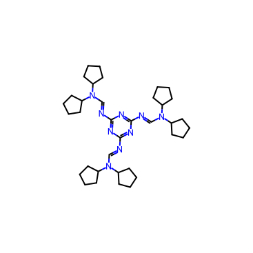 C(=Nc1nc(N=CN(C2CCCC2)C2CCCC2)nc(N=CN(C2CCCC2)C2CCCC2)n1)N(C1CCCC1)C1CCCC1